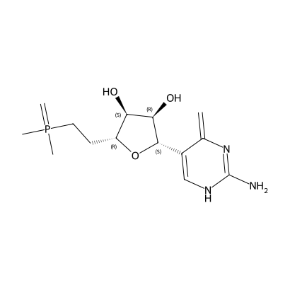 C=C1N=C(N)NC=C1[C@@H]1O[C@H](CCP(=C)(C)C)[C@@H](O)[C@H]1O